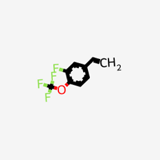 C=Cc1ccc(OC(F)(F)F)c(F)c1